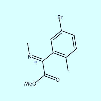 C/N=C(/C(=O)OC)c1cc(Br)ccc1C